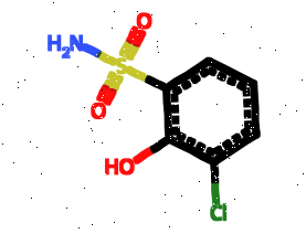 NS(=O)(=O)c1cccc(Cl)c1O